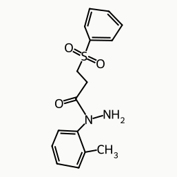 Cc1ccccc1N(N)C(=O)CCS(=O)(=O)c1ccccc1